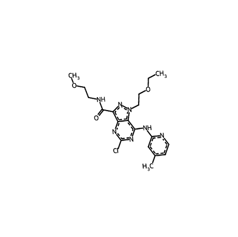 CCOCCn1nc(C(=O)NCCOC)c2nc(Cl)nc(Nc3cc(C)ccn3)c21